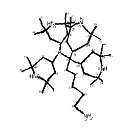 CC1(C)CC(N(C2CC(C)(C)NC(C)(C)C2)C(CCCCCN)(C2CC(C)(C)NC(C)(C)C2)C2CC(C)(C)NC(C)(C)C2)CC(C)(C)N1